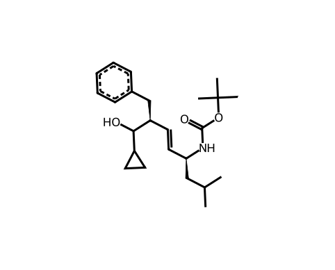 CC(C)C[C@@H](/C=C/[C@H](Cc1ccccc1)C(O)C1CC1)NC(=O)OC(C)(C)C